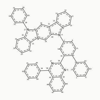 c1ccc(-c2ccc(-n3c4ccccc4c4cc5c(cc43)c3ccccc3n5-c3ccccc3)cc2-c2nc(-c3ccccc3)c3ccccc3n2)cc1